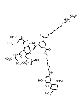 CC(=O)N[C@@H]1CC=C(C(=O)O)OC1[C@H](OC(=O)NCCCCCCNC(=O)[C@H]1C[C@@H](C(=O)CCCCCCCCCNNC(=O)O)C[C@@H](C(=O)N[C@@H](CC(=O)N[C@H](CS(=O)(=O)O)C(=O)O)C(=O)C[C@H](CC(=O)N[C@H](CS(=O)(=O)O)C(=O)O)C(=O)C[C@H](CC(N)=O)C(=O)O)C1)C(O)CO